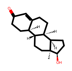 C[C@]12CC[C@H]3[C@@H](CCC4=CC(=O)CC[C@@H]43)[C@H]1CC[C@H]2O